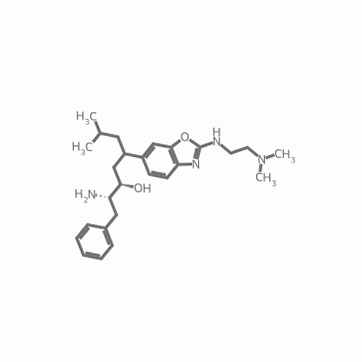 CC(C)CC(C[C@@H](O)[C@@H](N)Cc1ccccc1)c1ccc2nc(NCCN(C)C)oc2c1